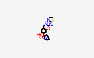 CN(Cc1ccc(C(=O)N2C3CC(O)CC2C3)cc1)C(=O)N(C)C1=NCCS1